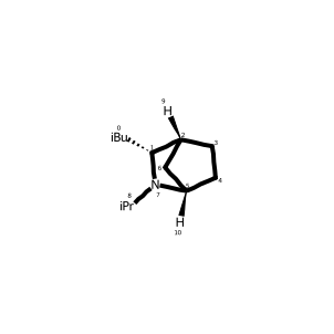 CCC(C)[C@@H]1[C@@H]2CC[C@@H](C2)N1C(C)C